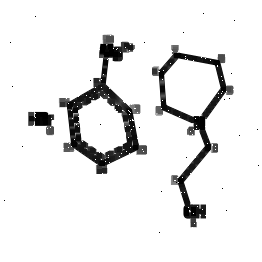 Br.OCCN1CCCCC1.[Mg+2][c]1ccccc1